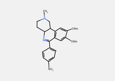 COc1cc2c(cc1OC)C1CN(C)CCC1N=C2c1ccc([N+](=O)[O-])cc1